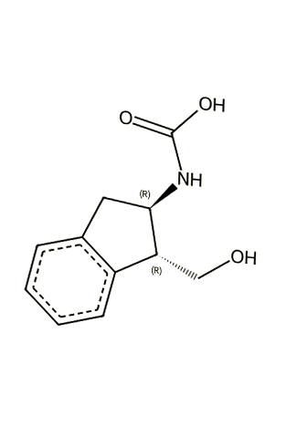 O=C(O)N[C@@H]1Cc2ccccc2[C@H]1CO